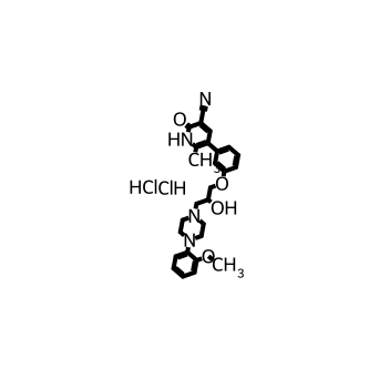 COc1ccccc1N1CCN(CC(O)COc2cccc(-c3cc(C#N)c(=O)[nH]c3C)c2)CC1.Cl.Cl